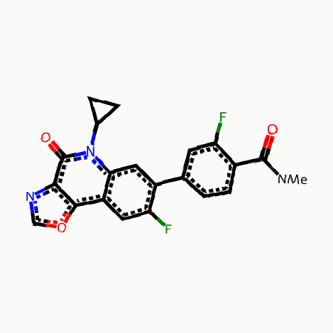 CNC(=O)c1ccc(-c2cc3c(cc2F)c2ocnc2c(=O)n3C2CC2)cc1F